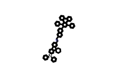 C(=C\c1ccc2cc(-c3cc(-c4ccccc4)c4c5ccccc5c5ccccc5c4c3-c3ccccc3)ccc2c1)/c1ccc2c(c1)C1(CCCCC1)c1cc(N(c3ccccc3)c3ccccc3)ccc1-2